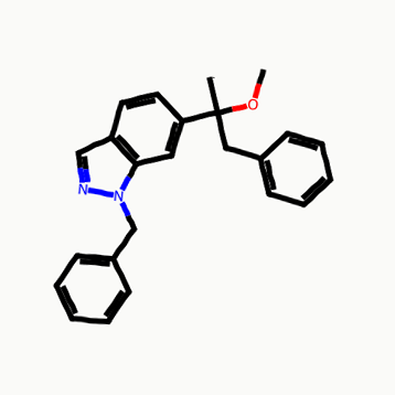 [CH2]C(Cc1ccccc1)(OC)c1ccc2cnn(Cc3ccccc3)c2c1